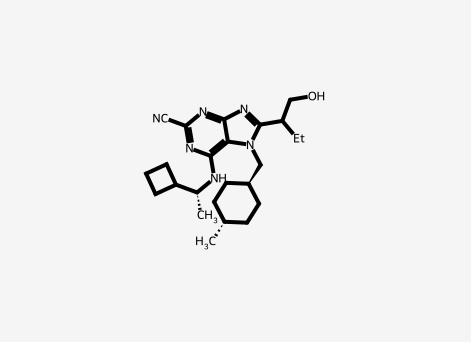 CCC(CO)c1nc2nc(C#N)nc(N[C@H](C)C3CCC3)c2n1C[C@H]1CC[C@H](C)CC1